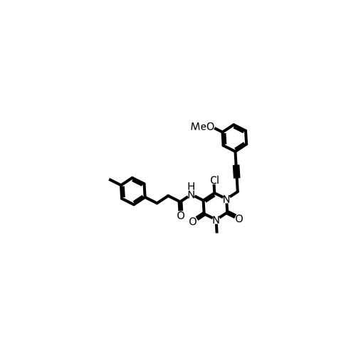 COc1cccc(C#CCn2c(Cl)c(NC(=O)CCc3ccc(C)cc3)c(=O)n(C)c2=O)c1